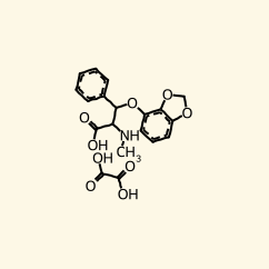 CNC(C(=O)O)C(Oc1cccc2c1OCO2)c1ccccc1.O=C(O)C(=O)O